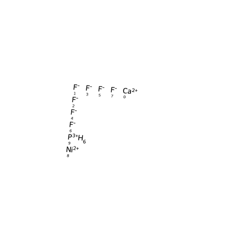 [Ca+2].[F-].[F-].[F-].[F-].[F-].[F-].[F-].[Ni+2].[PH6+3]